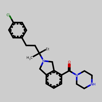 CCC(C)(CCc1ccc(Cl)cc1)N1Cc2cccc(C(=O)N3CCNCC3)c2C1